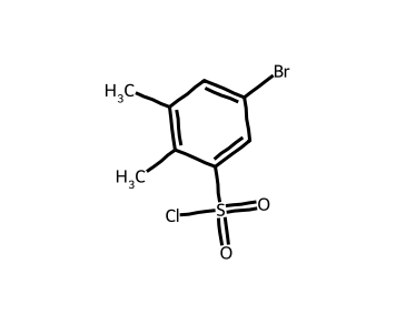 Cc1cc(Br)cc(S(=O)(=O)Cl)c1C